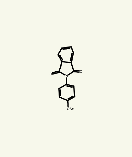 CC(=O)Oc1ccc(N2C(=O)c3ccccc3C2=O)cc1